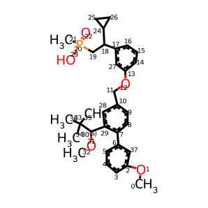 COc1cccc(-c2ccc(COc3cccc(C(CP(C)(=O)O)C4CC4)c3)cc2[C@@H](OC)C(C)(C)C)c1